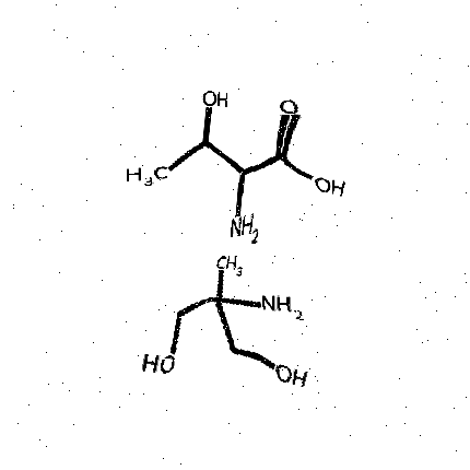 CC(N)(CO)CO.CC(O)C(N)C(=O)O